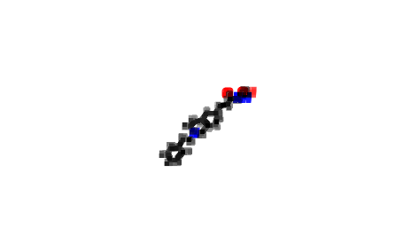 O=C(/C=C/c1ccc2c(c1)CCN(CCc1ccccc1)C2)NO